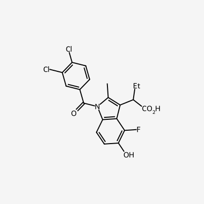 CCC(C(=O)O)c1c(C)n(C(=O)c2ccc(Cl)c(Cl)c2)c2ccc(O)c(F)c12